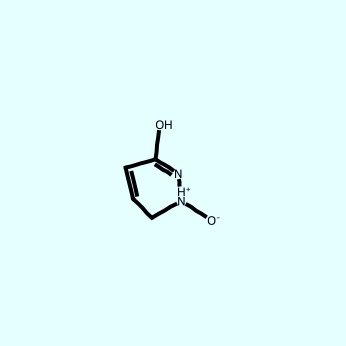 [O-][NH+]1CC=CC(O)=N1